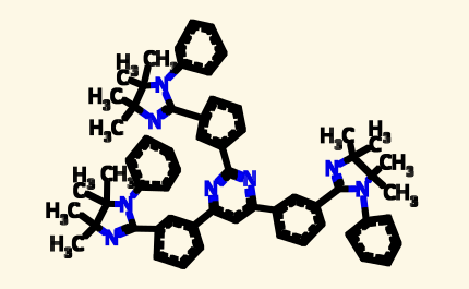 CC1(C)N=C(c2cccc(-c3cc(-c4cccc(C5=NC(C)(C)C(C)(C)N5c5ccccc5)c4)nc(-c4cccc(C5=NC(C)(C)C(C)(C)N5c5ccccc5)c4)n3)c2)N(c2ccccc2)C1(C)C